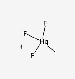 [CH3][Hg]([F])([F])[F].[I]